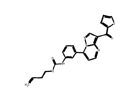 C=CCCOC(=O)Nc1cccc(-c2ccnc3c(C(=O)c4cccs4)cnn23)c1